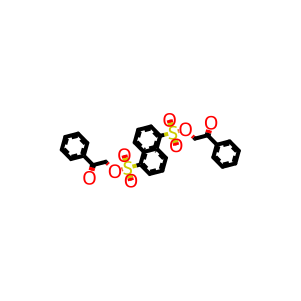 O=C(COS(=O)(=O)c1cccc2c(S(=O)(=O)OCC(=O)c3ccccc3)cccc12)c1ccccc1